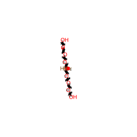 Br.Br.OCCOCCOCCOCCOCCOCCOCCOCCO